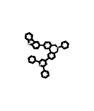 c1ccc(-c2cc(-c3ccc4c(c3)-c3cc(-c5ccc6oc7ccccc7c6c5)ccc3CN(c3ccccc3)C4)cc(-c3ccccc3)n2)cc1